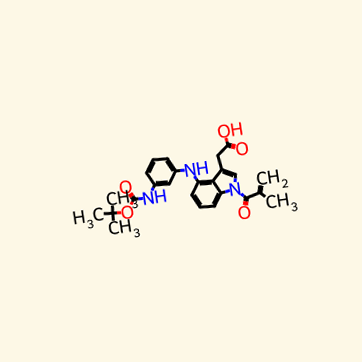 C=C(C)C(=O)n1cc(CC(=O)O)c2c(Nc3cccc(NC(=O)OC(C)(C)C)c3)cccc21